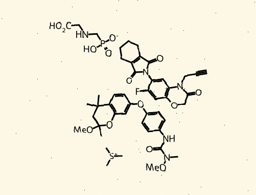 C#CCN1C(=O)COc2cc(F)c(N3C(=O)C4=C(CCCC4)C3=O)cc21.CON(C)C(=O)Nc1ccc(Oc2ccc3c(c2)OC(C)(OC)CC3(C)C)cc1.C[S+](C)C.O=C(O)CNCP(=O)([O-])O